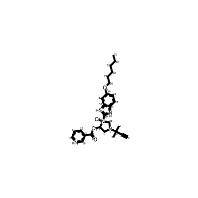 C#CC(C)(C)N1CC(OC(=O)c2cccnc2)[N+]([O-])(c2nc3ccc(OCCCCCC)cc3s2)C1